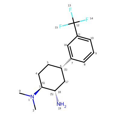 CN(C)[C@H]1CC[C@H](c2cccc(C(F)(F)F)c2)C[C@@H]1N